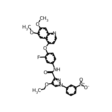 CCOc1cn(-c2cccc([N+](=O)[O-])c2)nc1C(=O)Nc1ccc(Oc2ccnc3cc(OC)c(OC)cc23)c(F)c1